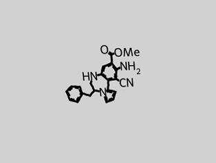 COC(=O)c1cc2c(c(C#N)c1N)-c1cccn1C(Cc1ccccc1)CN2